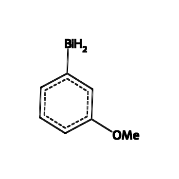 COc1ccc[c]([BiH2])c1